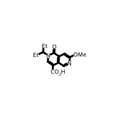 CCC(CC)n1cc(C(=O)O)c2cnc(OC)cc2c1=O